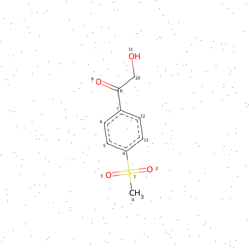 CS(=O)(=O)c1ccc(C(=O)CO)cc1